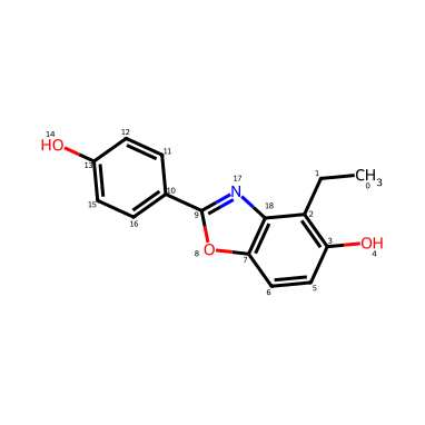 CCc1c(O)ccc2oc(-c3ccc(O)cc3)nc12